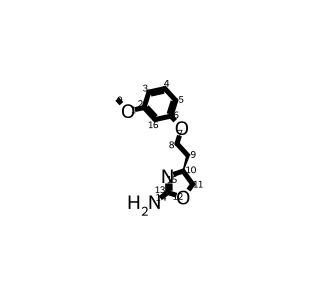 COc1cccc(OCC[C@H]2COC(N)=N2)c1